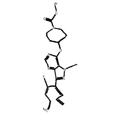 C=C/C=C(\C(F)=C/CC#N)c1nn(C)c2c(OC3CCN(C(=O)OC(C)C)CC3)ncnc12